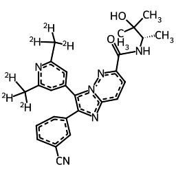 [2H]C([2H])([2H])c1cc(-c2c(-c3cccc(C#N)c3)nc3ccc(C(=O)N[C@@H](C)C(C)(C)O)nn23)cc(C([2H])([2H])[2H])n1